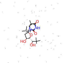 Cc1cn([C@@]2([SiH](C)C)C[C@H](O)[C@@H](C(O)C(C)(C)C)O2)c(=O)[nH]c1=O